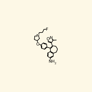 Cc1nocc1C1=C(c2ccc(OC3CCN(CCCF)C3)cc2)c2ccc(N)cc2CCC1